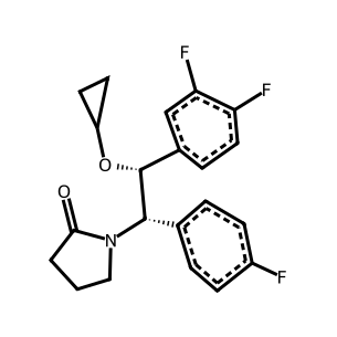 O=C1CCCN1[C@@H](c1ccc(F)cc1)[C@H](OC1CC1)c1ccc(F)c(F)c1